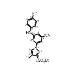 CCOC(=O)c1nn(-c2cc(C#N)cc(Nc3ccc(F)cc3)n2)cc1C